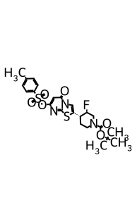 Cc1ccc(S(=O)(=O)Oc2cc(=O)n3cc([C@H]4CCN(C(=O)OC(C)(C)C)C[C@@H]4F)sc3n2)cc1